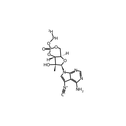 [2H]POP1(=O)OC[C@H]2O[C@@H](n3cc([N+]#[C-])c4c(N)ncnc43)[C@](C)(O)[C@@H]2O1